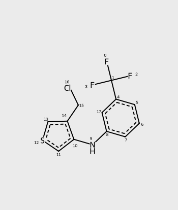 FC(F)(F)c1cccc(Nc2cscc2CCl)c1